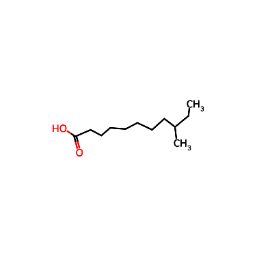 CCC(C)CCCCCCCC(=O)O